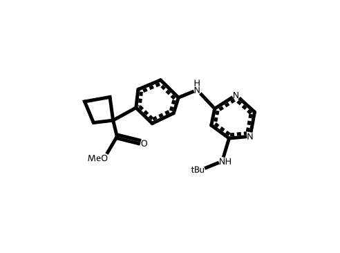 COC(=O)C1(c2ccc(Nc3cc(NC(C)(C)C)ncn3)cc2)CCC1